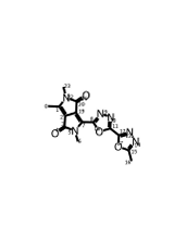 CC1=C2C(=O)N(C)C(c3nnc(-c4nnc(C)o4)o3)=C2C(=O)N1C